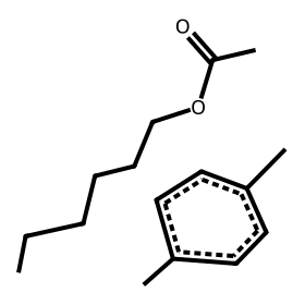 CCCCCCOC(C)=O.Cc1ccc(C)cc1